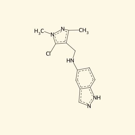 Cc1nn(C)c(Cl)c1CNc1ccc2[nH]ncc2c1